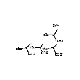 CCCCC(C)C(=O)[O-].CCCCC(C)C(=O)[O-].CCCCC(C)C(=O)[O-].CCCCC(C)C(=O)[O-].[Zr+4]